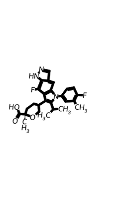 Cc1cc(-n2c(C(C)C)c(C3CC[C@](C)(C(=O)O)OC3)c3c(F)c4[nH]ncc4cc32)ccc1F